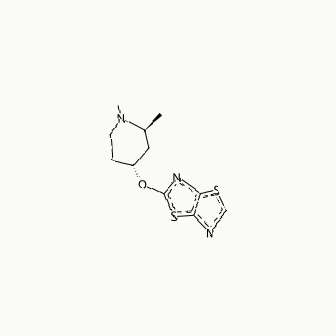 C[C@H]1C[C@H](Oc2nc3scnc3s2)CCN1C